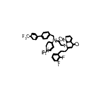 CC(C)N1CCC(N(Cc2ccc(-c3ccc(C(F)(F)F)cc3)cc2)C(=O)Cn2c(CCc3cccc(F)c3F)cc(=O)c3cccnc32)CC1